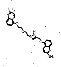 Nc1ccc2c(OCCOCCn3cc(COc4cccc5nc(N)ccc45)[nH]3)cccc2n1